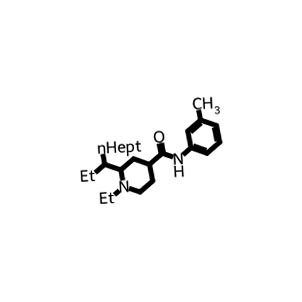 CCCCCCCC(CC)C1CC(C(=O)Nc2cccc(C)c2)CCN1CC